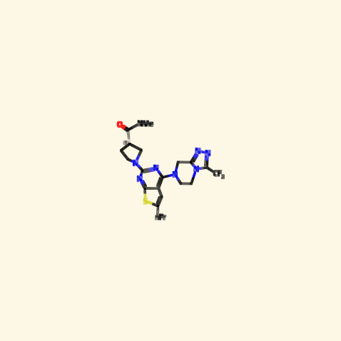 CCCc1cc2c(N3CCn4c(nnc4C(F)(F)F)C3)nc(N3CC[C@H](C(=O)NC)C3)nc2s1